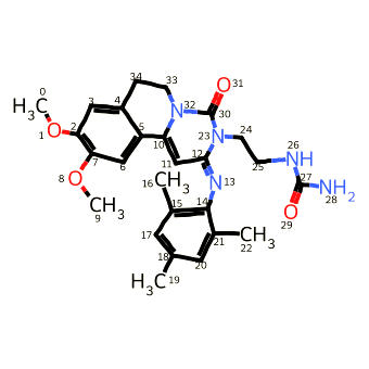 COc1cc2c(cc1OC)-c1cc(=Nc3c(C)cc(C)cc3C)n(CCNC(N)=O)c(=O)n1CC2